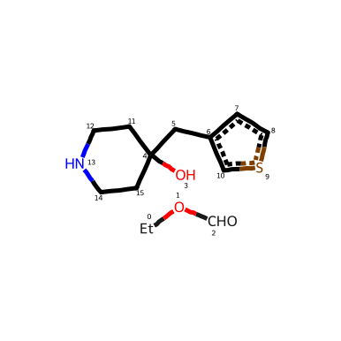 CCOC=O.OC1(Cc2ccsc2)CCNCC1